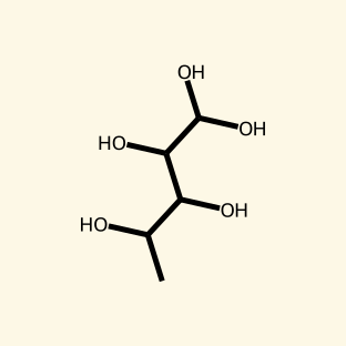 CC(O)C(O)C(O)C(O)O